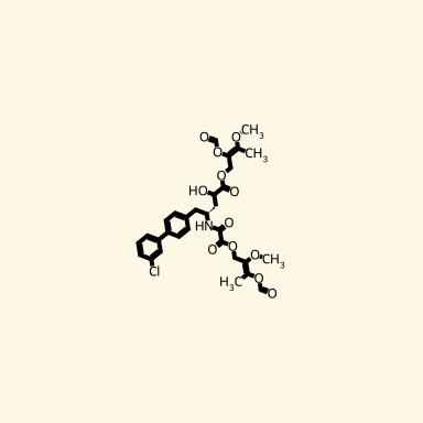 CO/C(C)=C(/COC(=O)C(O)C[C@@H](Cc1ccc(-c2cccc(Cl)c2)cc1)NC(=O)C(=O)OC/C(OC)=C(\C)OC=O)OC=O